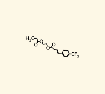 C=CC(=O)OCCOC(=O)C/C=C/c1ccc(C(F)(F)F)cc1